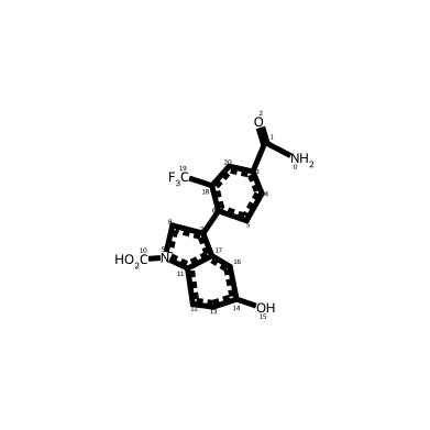 NC(=O)c1ccc(-c2cn(C(=O)O)c3ccc(O)cc23)c(C(F)(F)F)c1